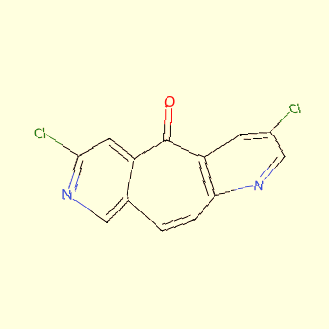 O=c1c2cc(Cl)ncc2ccc2ncc(Cl)cc12